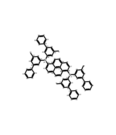 Cc1cc(-c2ccccc2)cc(N(c2cc(C)cc(-c3ccccc3)c2)c2ccc3ccc4c(N(c5cc(C)cc(-c6ccccc6)c5)c5cc(C)cc(-c6ccccc6)c5)ccc5ccc2c3c54)c1